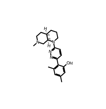 Cc1cc(C)c(-c2ccc(N3CCC[C@@H]4CCN(C)C[C@@H]43)nn2)c(O)c1